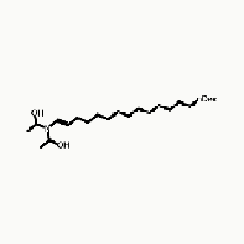 CCCCCCCCCCCCCCCCCCCCCCC=CN(C(C)O)C(C)O